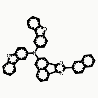 c1ccc2cc(-c3nc4c(o3)-c3cc(N(c5ccc6oc7ccccc7c6c5)c5ccc6oc7ccccc7c6c5)cc5cccc-4c35)ccc2c1